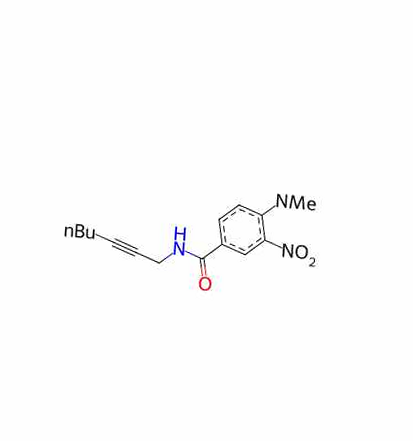 CCCCC#CCNC(=O)c1ccc(NC)c([N+](=O)[O-])c1